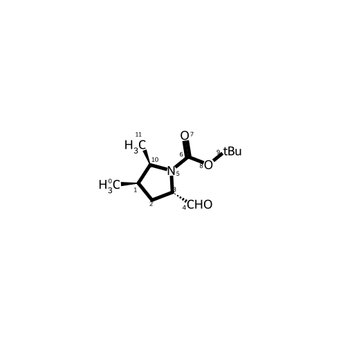 C[C@@H]1C[C@@H](C=O)N(C(=O)OC(C)(C)C)[C@@H]1C